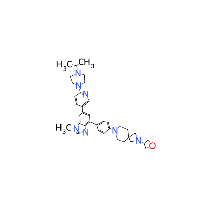 CC(C)N1CCN(c2ccc(-c3cc(-c4ccc(N5CCC6(CC5)CN(C5COC5)C6)cc4)c4ncn(C)c4c3)cn2)CC1